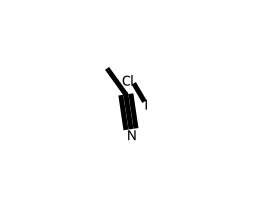 CC#N.ClI